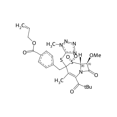 C=CCOC(=O)c1ccc(CC2(Sc3nnnn3C)C(C)=C(C(=O)C(C)(C)C)N3C(=O)[C@H](OC)[C@H]3S2(=O)=O)cc1